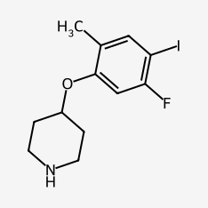 Cc1cc(I)c(F)cc1OC1CCNCC1